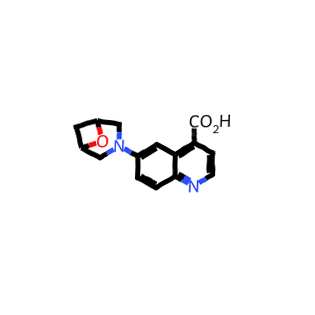 O=C(O)c1ccnc2ccc(N3CC4CC(C3)O4)cc12